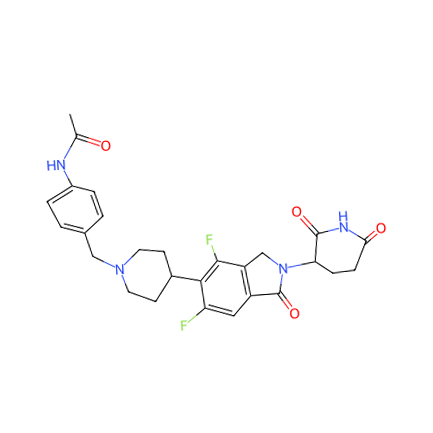 CC(=O)Nc1ccc(CN2CCC(c3c(F)cc4c(c3F)CN(C3CCC(=O)NC3=O)C4=O)CC2)cc1